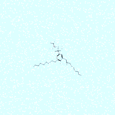 CCCCCCCCCc1cc(C(C)(C)NC(=O)C(Cl)Cl)cc(CCCCCCCCC)c1O